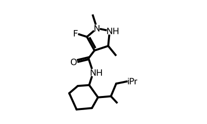 CC(C)CC(C)C1CCCCC1NC(=O)C1=C(F)N(C)NC1C